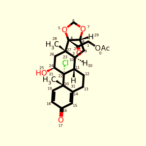 CC(=O)OCC(=O)[C@@]12OCO[C@@H]1C[C@H]1[C@@H]3CCC4=CC(=O)C=C[C@]4(C)[C@@]3(Cl)[C@@H](O)C[C@@]12C